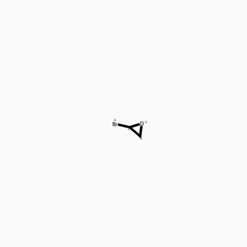 BrC1CO1